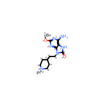 CCCCOc1nc(N)c2[nH]c(=O)n(CCC3CCN(C(C)C)CC3)c2n1